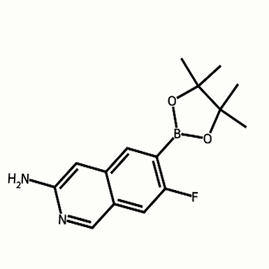 CC1(C)OB(c2cc3cc(N)ncc3cc2F)OC1(C)C